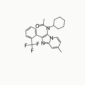 CC(=O)N(c1c(-c2ccccc2C(F)(F)F)nc2cc(C)ccn12)C1CCCCC1